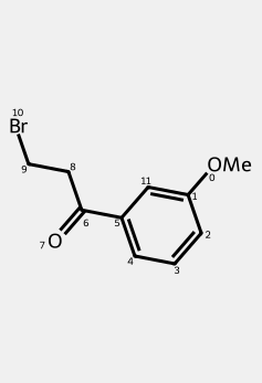 COc1cccc(C(=O)CCBr)c1